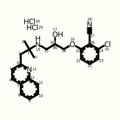 CC(C)(Cc1ccc2ccccc2n1)NC[C@@H](O)COc1cccc(Cl)c1C#N.Cl.Cl